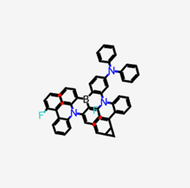 FC1=C(c2ccccc2N2c3cc(N(c4ccccc4)c4ccccc4)ccc3B3c4ccccc4N(c4ccccc4-c4ccccc4F)c4cccc2c43)C2CC2C=C1